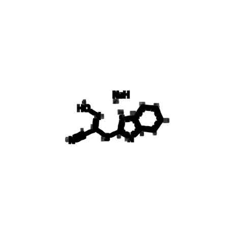 N#CC(=NO)Sc1nc2ccccc2s1.[NaH]